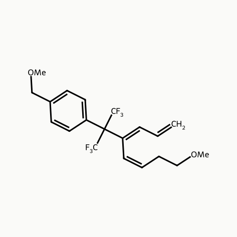 C=C/C=C(\C=C/CCOC)C(c1ccc(COC)cc1)(C(F)(F)F)C(F)(F)F